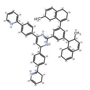 CC1C=CC2=C(C1)C(c1cc(C3=NC(c4ccc(-c5ccccn5)cc4)=CC(c4ccc(C5=NC=CCC5)cc4)N3)cc(C3C4=C(C=CCC4)C=CC3C)c1)=CCC2